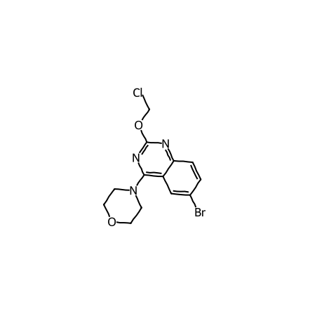 ClCOc1nc(N2CCOCC2)c2cc(Br)ccc2n1